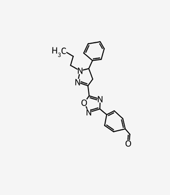 CCCN1N=C(c2nc(-c3ccc(C=O)cc3)no2)CC1c1ccccc1